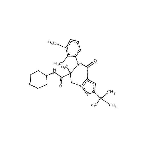 Cc1cccc(N2C(=O)c3cc(C(C)(C)C)nn3CC2(C)C(=O)NC2CCCCC2)c1C